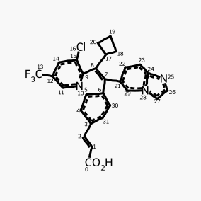 O=C(O)/C=C/c1ccc(/C(=C(\c2ncc(C(F)(F)F)cc2Cl)C2CCC2)c2ccc3nccn3c2)cc1